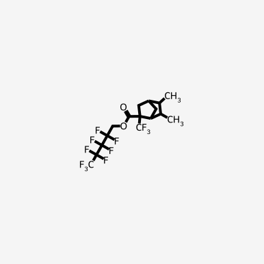 CC1C2CC(C1C)C(C(=O)OCC(F)(F)C(F)(F)C(F)(F)C(F)(F)F)(C(F)(F)F)C2